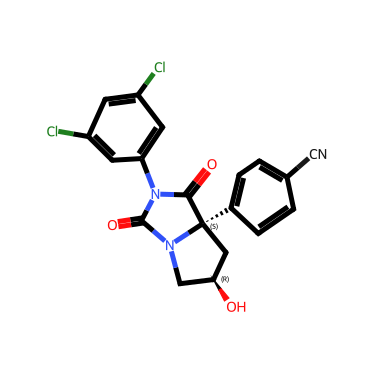 N#Cc1ccc([C@]23C[C@@H](O)CN2C(=O)N(c2cc(Cl)cc(Cl)c2)C3=O)cc1